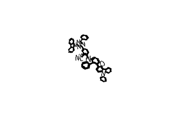 N#Cc1cc(-c2nc(-c3ccccc3)nc(-n3c4ccccc4c4ccccc43)n2)ccc1-n1c2ccccc2c2c3c(ccc21)oc1c3ccc2c1c1ccccc1n2-c1ccccc1